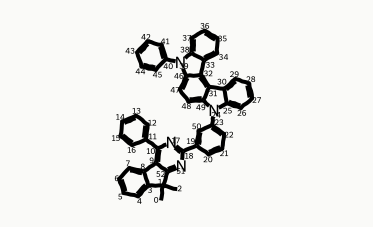 CC1(C)c2ccccc2-c2c(-c3ccccc3)nc(-c3cccc(-n4c5ccccc5c5c6c7ccccc7n(-c7ccccc7)c6ccc54)c3)nc21